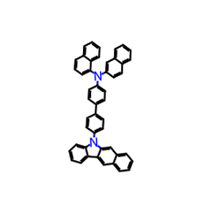 c1ccc2cc(N(c3ccc(-c4ccc(-n5c6ccccc6c6cc7ccccc7cc65)cc4)cc3)c3cccc4ccccc34)ccc2c1